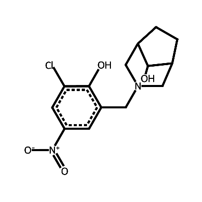 O=[N+]([O-])c1cc(Cl)c(O)c(CN2CC3CCC(C2)C3O)c1